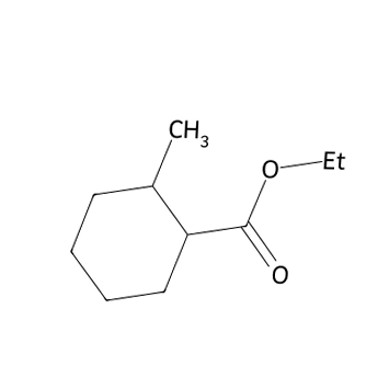 CCOC(=O)C1CCCCC1C